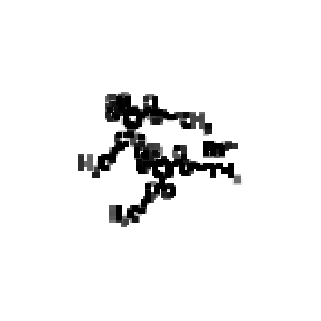 CCCCOC(=O)c1cc(C(=O)OCCCC)cc(S(=O)(=O)[O-])c1.CCCCOC(=O)c1cc(C(=O)OCCCC)cc(S(=O)(=O)[O-])c1.[Ba+2]